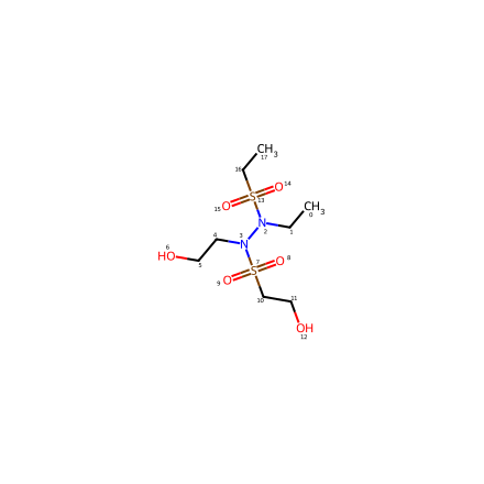 CCN(N(CCO)S(=O)(=O)CCO)S(=O)(=O)CC